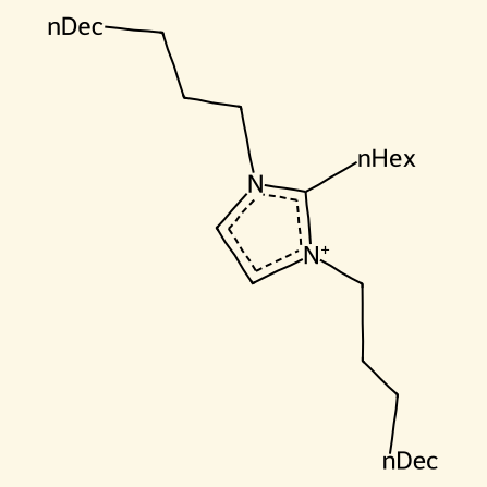 CCCCCCCCCCCCCn1cc[n+](CCCCCCCCCCCCC)c1CCCCCC